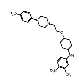 Cc1ccc(N2CCN(CCO[C@H]3CC[C@H](Nc4ccc([N+](=O)[O-])c(C(F)(F)F)c4)CC3)CC2)cc1